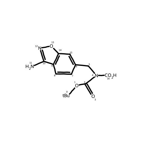 CC(C)(C)OC(=O)N(Cc1ccc2c(N)noc2c1)C(=O)O